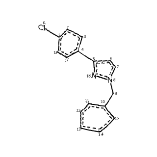 Clc1ccc(-c2ccn(Cc3ccccc3)n2)cc1